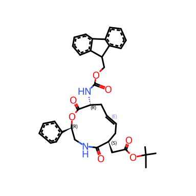 CC(C)(C)OC(=O)C[C@@H]1C/C=C/C[C@@H](NC(=O)OCC2c3ccccc3-c3ccccc32)C(=O)O[C@H](c2ccccc2)CNC1=O